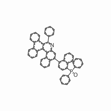 O=P(c1ccccc1)(c1ccccc1)c1ccc(-c2cc3nc(-c4ccccc4)c4c5ccccc5c5ccccc5c4c3c3ccccc23)c2ccccc12